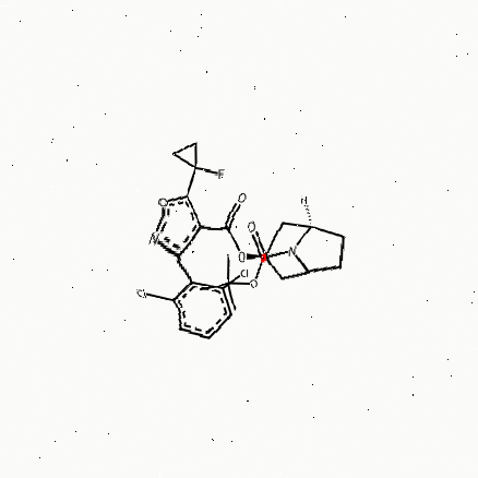 CC(C)(C)OC(=O)N1C2CC[C@@H]1C[C@H](OC(=O)c1c(-c3c(Cl)cccc3Cl)noc1C1(F)CC1)C2